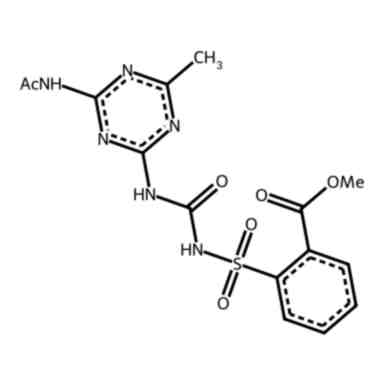 COC(=O)c1ccccc1S(=O)(=O)NC(=O)Nc1nc(C)nc(NC(C)=O)n1